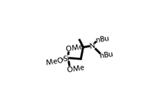 CCCCN(CCCC)C(C)C[Si](OC)(OC)OC